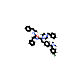 CC(Cc1ccccc1)Nc1oc(C(CC2CCC(C(c3ccc(Cl)cc3)N(C)C)CC2)N2CCN(Cc3ccccc3)CC2)nc1Cc1ccccc1